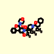 C[C@H](CC1CCCCC1)C(=O)N1CCC(O)(Cn2cc(C(=O)N3CCOCC3)c(-c3ccccc3)cc2=O)C(C)(C)C1